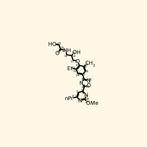 CCCc1cc(-c2nc(-c3cc(C)c(OCC(O)CNC(=O)CO)c(CC)c3)no2)nc(OC)n1